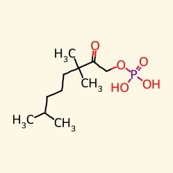 CC(C)CCCC(C)(C)C(=O)COP(=O)(O)O